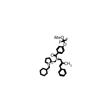 COC(F)(F)Oc1ccc(C(=O)N(CC(C)=Cc2ccccc2)C[C@@H]2CCCN2CC2CCCCC2)cc1